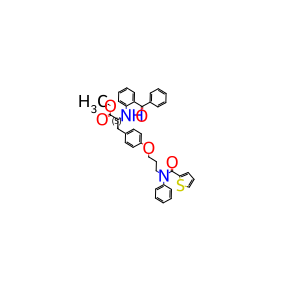 COC(=O)[C@H](Cc1ccc(OCCCN(C(=O)c2cccs2)c2ccccc2)cc1)Nc1ccccc1C(=O)c1ccccc1